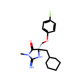 CN1C(=N)N[C@](COc2ccc(F)cc2)(CC2CCCCC2)C1=O